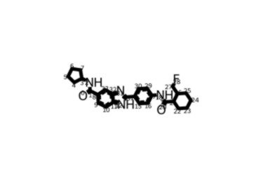 O=C(NC1CCCC1)c1ccc2[nH]c(-c3ccc(NC(=O)C4CCCCC4CF)cc3)nc2c1